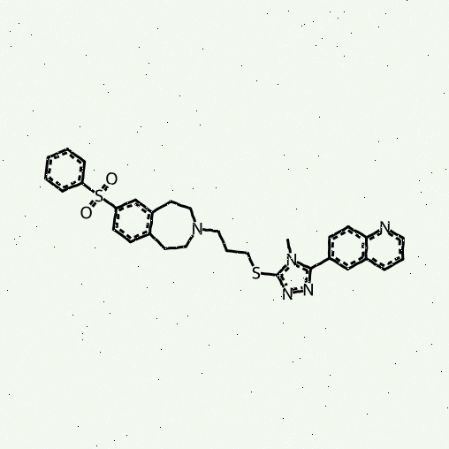 Cn1c(SCCCN2CCc3ccc(S(=O)(=O)c4ccccc4)cc3CC2)nnc1-c1ccc2ncccc2c1